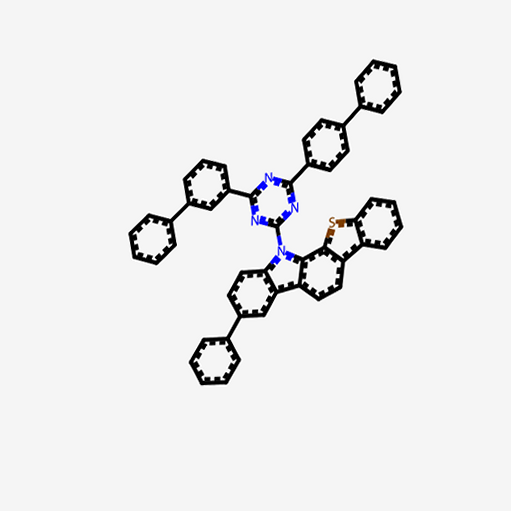 c1ccc(-c2ccc(-c3nc(-c4cccc(-c5ccccc5)c4)nc(-n4c5ccc(-c6ccccc6)cc5c5ccc6c7ccccc7sc6c54)n3)cc2)cc1